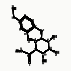 COC(=O)[C@H]1O[C@@H](Oc2ccc(CO)cc2OC)[C@H](O)[C@@H](O)[C@@H]1O